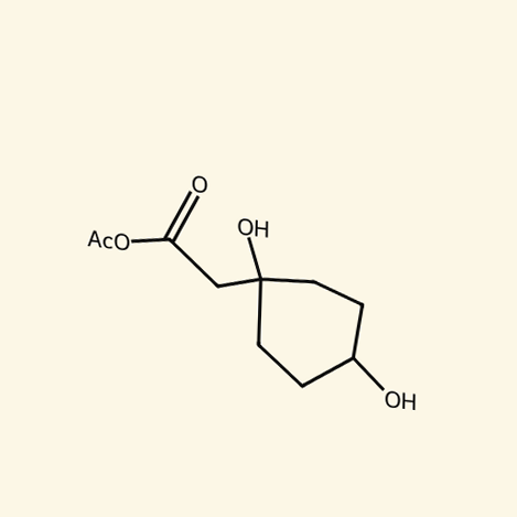 CC(=O)OC(=O)CC1(O)CCC(O)CC1